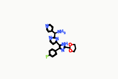 NC(c1ccncc1)c1nccc(-c2[nH]c(C3OCCCO3)nc2-c2ccc(F)cc2)n1